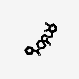 O=C(c1ccccc1)N1CCC2(CC1)CCN(Cc1cccc(F)c1F)C2=O